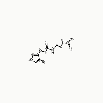 O=C(COc1nocc1Br)NCCO[N+](=O)[O-]